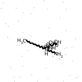 CCCCCCCCCCCCCC(=O)NC(CCCCN)C(=O)NC(CCC(=O)O)C(=O)O